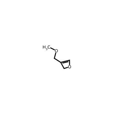 COCC1=COC1